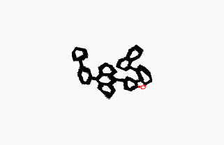 c1ccc(-c2cccc(-c3c4ccccc4c(-c4ccc5oc6cccc(-c7cccc8ccccc78)c6c5c4)c4ccccc34)c2)cc1